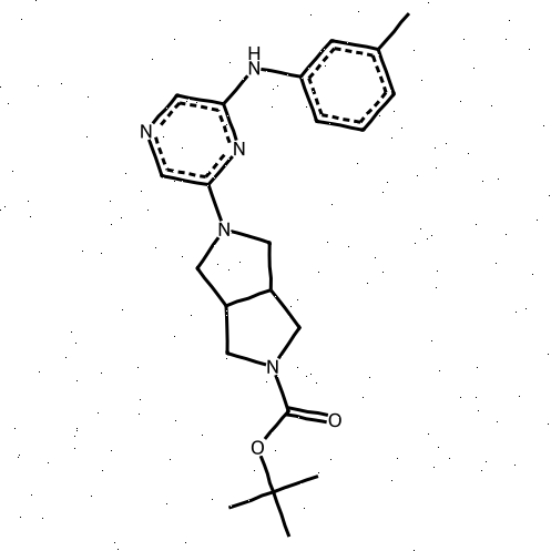 Cc1cccc(Nc2cncc(N3CC4CN(C(=O)OC(C)(C)C)CC4C3)n2)c1